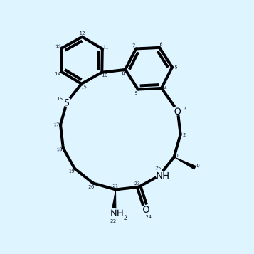 C[C@@H]1COc2cccc(c2)-c2ccccc2SCCCC[C@H](N)C(=O)N1